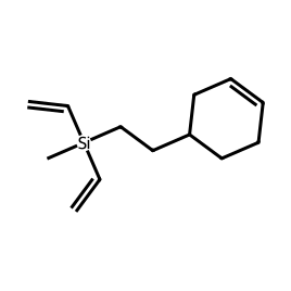 C=C[Si](C)(C=C)CCC1CC=CCC1